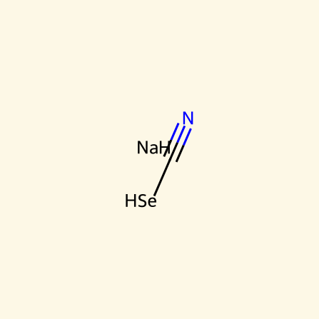 N#C[SeH].[NaH]